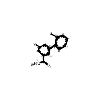 COC(=O)c1cc(F)cc(-c2ccccc2C)c1